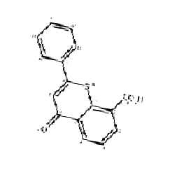 O=C(O)c1cccc2c(=O)cc(-c3ccccc3)sc12